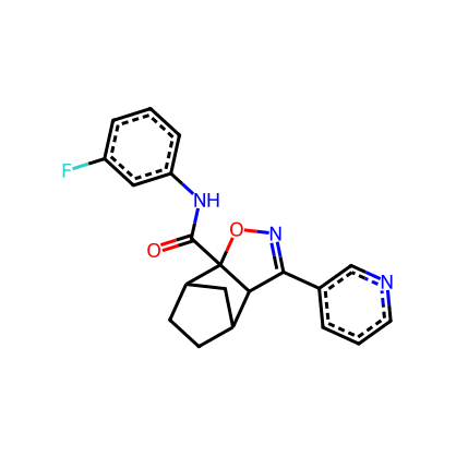 O=C(Nc1cccc(F)c1)C12ON=C(c3cccnc3)C1C1CCC2C1